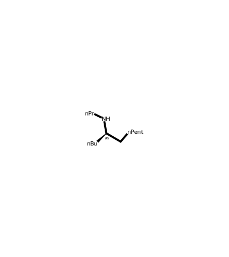 CCCCCC[C@@H](CCCC)NCCC